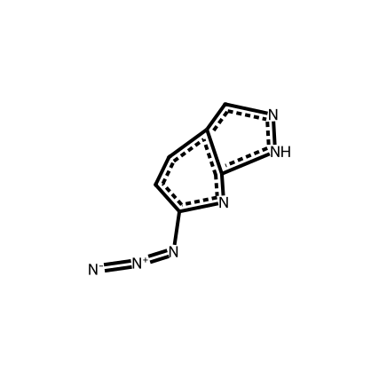 [N-]=[N+]=Nc1ccc2cn[nH]c2n1